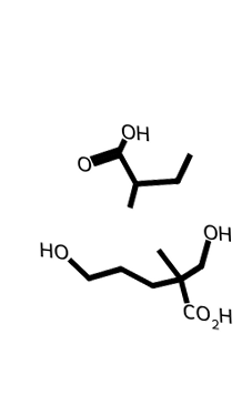 CC(CO)(CCCO)C(=O)O.CCC(C)C(=O)O